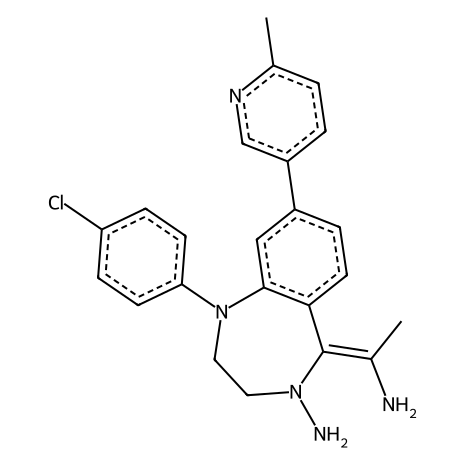 C/C(N)=C1\c2ccc(-c3ccc(C)nc3)cc2N(c2ccc(Cl)cc2)CCN1N